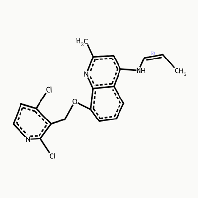 C/C=C\Nc1cc(C)nc2c(OCc3c(Cl)ccnc3Cl)cccc12